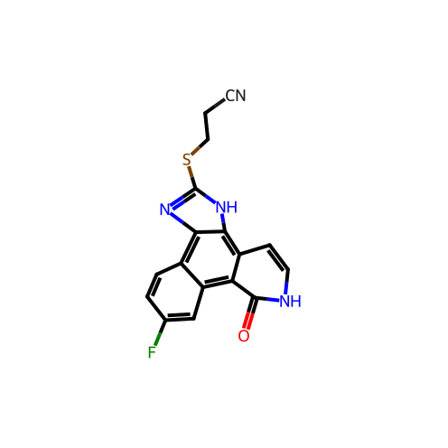 N#CCCSc1nc2c3ccc(F)cc3c3c(=O)[nH]ccc3c2[nH]1